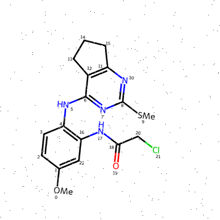 COc1ccc(Nc2nc(SC)nc3c2CCC3)c(NC(=O)CCl)c1